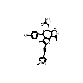 Cc1noc2c1-c1sc(C#Cc3cnn(C)c3)c(C)c1C(c1ccc(Cl)cc1)=N[C@H]2CC(N)=O